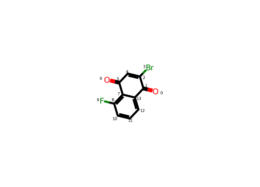 O=C1C(Br)=CC(=O)c2c(F)cccc21